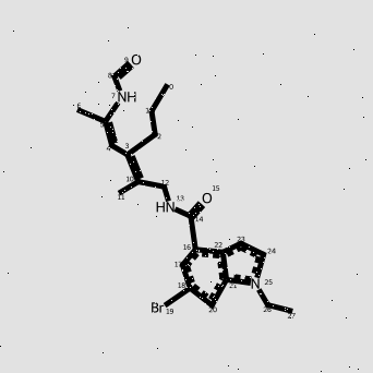 CCCC(/C=C(/C)NC=O)=C(/C)CNC(=O)c1cc(Br)cc2c1ccn2CC